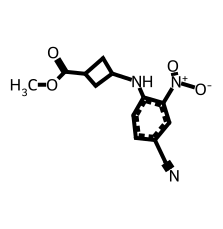 COC(=O)C1CC(Nc2ccc(C#N)cc2[N+](=O)[O-])C1